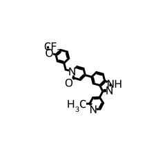 Cc1cc(-c2n[nH]c3ccc(-c4ccn(Cc5cccc(OC(F)(F)F)c5)c(=O)c4)cc23)ccn1